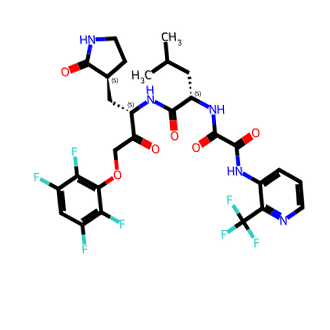 CC(C)C[C@H](NC(=O)C(=O)Nc1cccnc1C(F)(F)F)C(=O)N[C@@H](C[C@@H]1CCNC1=O)C(=O)COc1c(F)c(F)cc(F)c1F